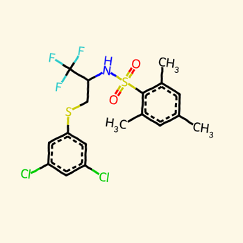 Cc1cc(C)c(S(=O)(=O)NC(CSc2cc(Cl)cc(Cl)c2)C(F)(F)F)c(C)c1